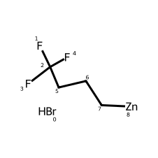 Br.FC(F)(F)CC[CH2][Zn]